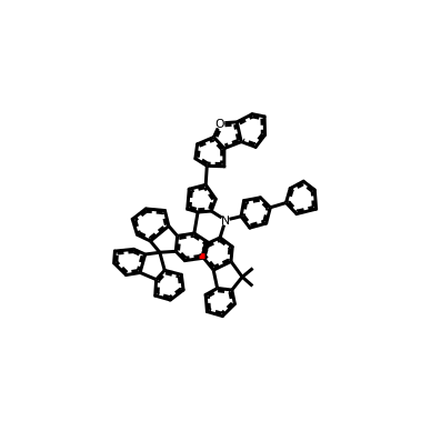 CC1(C)c2ccccc2-c2ccc(N(c3ccc(-c4ccccc4)cc3)c3cc(-c4ccc5oc6ccccc6c5c4)ccc3-c3cccc4c3-c3ccccc3C43c4ccccc4-c4ccccc43)cc21